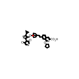 O=C(O)c1cc2ccc(/C=C/C34CCC(OCc5c(-c6c(Cl)cncc6Cl)noc5C5CC5)(CC3)CC4)cc2c(OC2CCCC2)n1